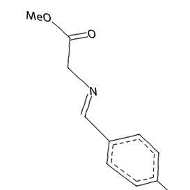 COC(=O)C/N=C/c1ccc(Cl)cc1